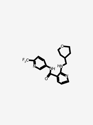 O=C(Nc1ccc(C(F)(F)F)nc1)c1cccnc1NCC1CCOCC1